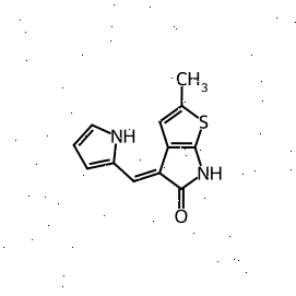 Cc1cc2c(s1)NC(=O)C2=Cc1ccc[nH]1